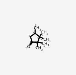 CC1CC(=O)C(C)(C)C1(C)C